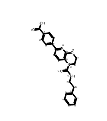 O=C(O)c1ccc(-c2ccc3c(n2)OCCN3C(=O)NCCc2ccccc2)cc1